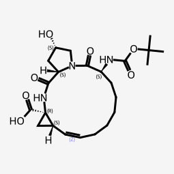 CC(C)(C)OC(=O)N[C@H]1CCCCC/C=C\[C@@H]2C[C@@]2(C(=O)O)NC(=O)[C@@H]2C[C@H](O)CN2C1=O